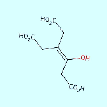 O=C(O)CC(O)=C(CC(=O)O)CC(=O)O